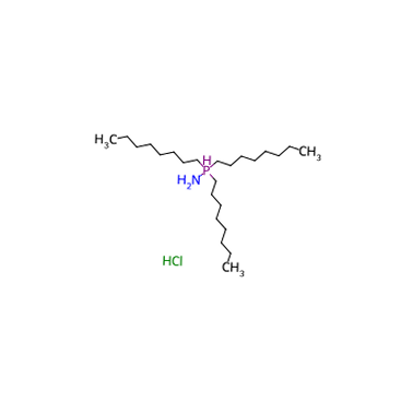 CCCCCCCC[PH](N)(CCCCCCCC)CCCCCCCC.Cl